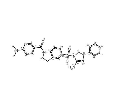 CN(C)c1ccc(C(=O)N2CCc3cc(S(=O)(=O)N4C[C@H](c5ccccc5)N=C4N)ccc32)cc1